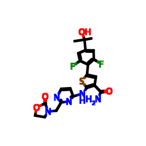 CC(C)(O)c1cc(F)c(-c2cc(C(N)=O)c(Nc3ccnc(CN4CCOC4=O)n3)s2)c(F)c1